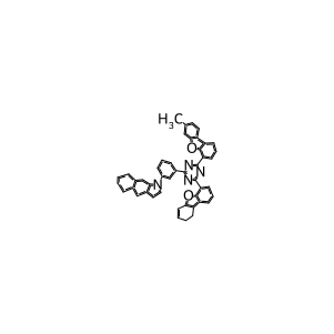 Cc1ccc2c(c1)oc1c(-c3nc(-c4cccc(-n5ccc6cc7ccccc7cc65)c4)nc(-c4cccc5c6c(oc45)C=CCC6)n3)cccc12